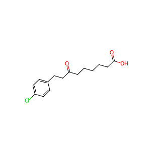 O=C(O)CCCCCC(=O)CCc1ccc(Cl)cc1